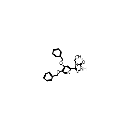 CCn1c(-c2cc(OCc3ccccc3)c(OCc3ccccc3)cn2)n[nH]c1=O